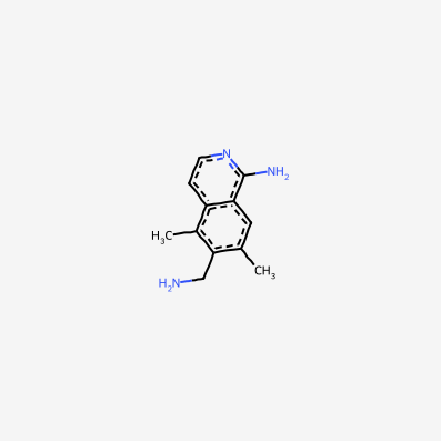 Cc1cc2c(N)nccc2c(C)c1CN